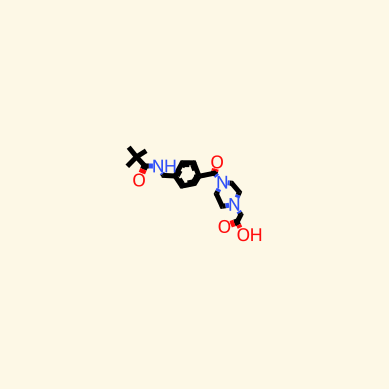 CC(C)(C)C(=O)NCc1ccc(C(=O)N2CCN(CC(=O)O)CC2)cc1